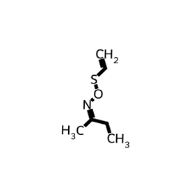 C=CSON=C(C)CC